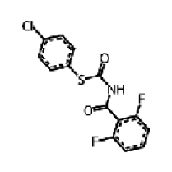 O=C(NC(=O)c1c(F)cccc1F)Sc1ccc(Cl)cc1